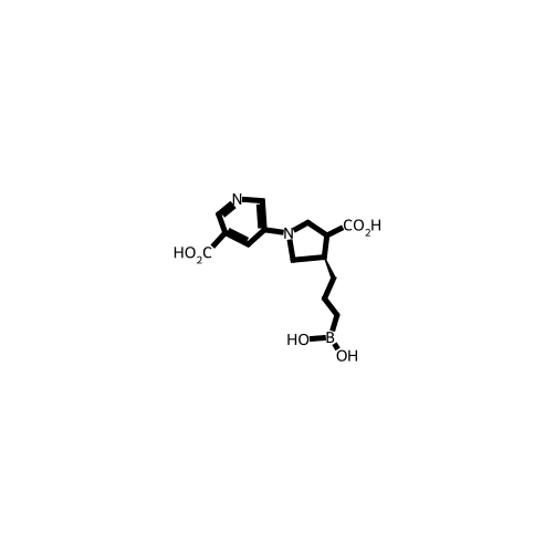 O=C(O)c1cncc(N2CC(C(=O)O)[C@@H](CCCB(O)O)C2)c1